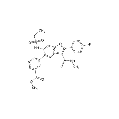 CCS(=O)(=O)Nc1cc2oc(-c3ccc(F)cc3)c(C(=O)NC)c2cc1-c1cncc(C(=O)OC)c1